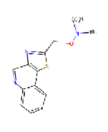 CC(C)(C)N(OCc1nc2cnc3ccccc3c2s1)C(=O)O